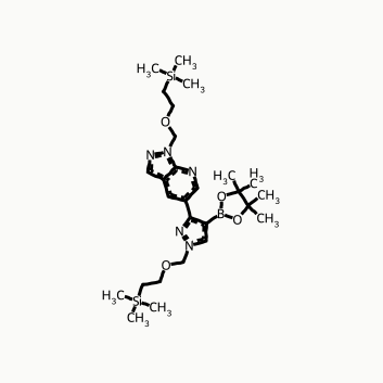 CC1(C)OB(c2cn(COCC[Si](C)(C)C)nc2-c2cnc3c(cnn3COCC[Si](C)(C)C)c2)OC1(C)C